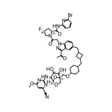 COc1cc(C#N)nc(N[C@H]2[C@@H]3OC[C@](COC4CCC(CC5CC(Cc6ccc7c(c6)c(C(C)=O)nn7CC(=O)N6C[C@H](F)C[C@H]6C(=O)Nc6cccc(Br)n6)C5)CC4)(O3)[C@H](O)[C@@H]2O)n1